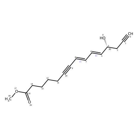 C#CC[C@@H](O)/C=C/C=C/C#CCCCCC(=O)OC